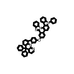 c1ccc(-n2c3ccccc3c3c2ccc2c4ccc(Oc5ccc6c7cccc8c7n(c6c5)-c5ncccc5C8(c5ccccc5)c5ccccc5)cc4c4nc5ccccc5n4c23)cc1